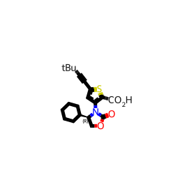 CC(C)(C)C#Cc1cc(N2C(=O)OC[C@H]2C2CCCCC2)c(C(=O)O)s1